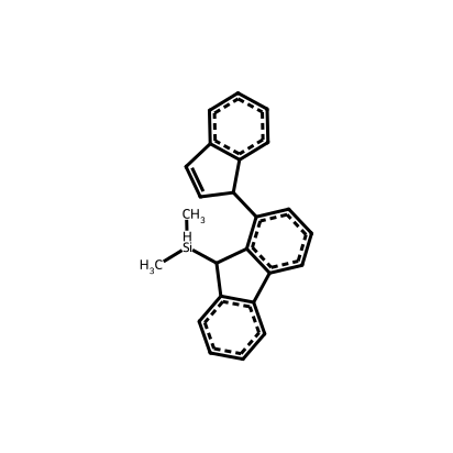 C[SiH](C)C1c2ccccc2-c2cccc(C3C=Cc4ccccc43)c21